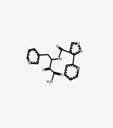 NC(=O)C(=O)C(Cc1cccnc1)NC(=O)c1conc1-c1ccccn1